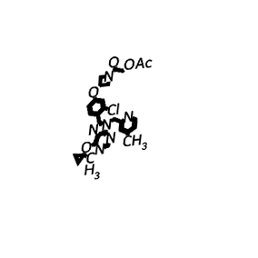 CC(=O)OCC(=O)N1CC(Oc2ccc(-c3nc4c(OC5(C)CC5)ncnc4n3Cc3cc(C)ccn3)c(Cl)c2)C1